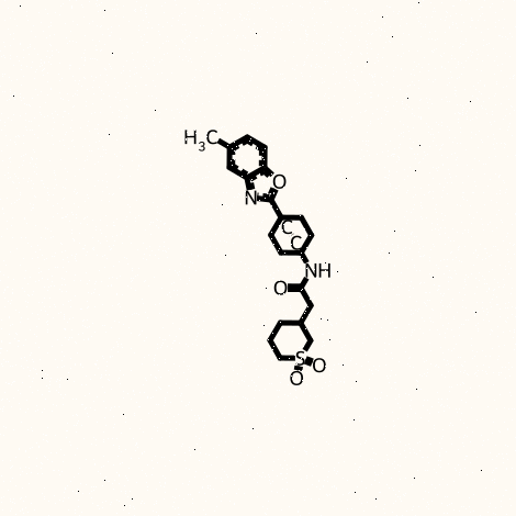 Cc1ccc2oc(C34CCC(NC(=O)CC5CCCS(=O)(=O)C5)(CC3)CC4)nc2c1